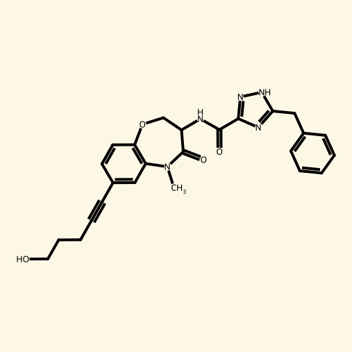 CN1C(=O)C(NC(=O)c2n[nH]c(Cc3ccccc3)n2)COc2ccc(C#CCCCO)cc21